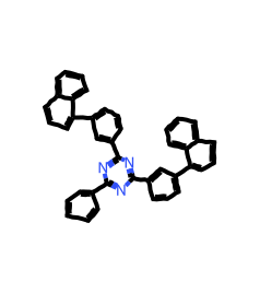 c1ccc(-c2nc(-c3cccc(-c4cccc5ccccc45)c3)nc(-c3cccc(-c4cccc5ccccc45)c3)n2)cc1